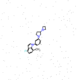 Cc1ccc(F)c2ccn(-c3cccc(N4CCC(N5CCC5)C4)c3)c12